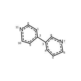 [c]1cc(-c2cccnc2)ccn1